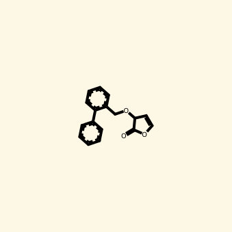 O=C1OC=CC1OCc1ccccc1-c1ccccc1